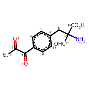 CCC(=O)C(=O)c1ccc(CC(N)(C=O)C(=O)O)cc1